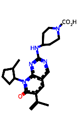 C=C(C)c1cc2cnc(NC3CCN(C(=O)O)CC3)nc2n(C2CCCC2C)c1=O